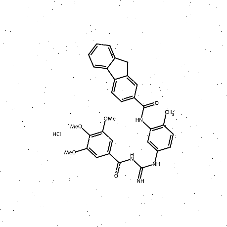 COc1cc(C(=O)NC(=N)Nc2ccc(C)c(NC(=O)c3ccc4c(c3)Cc3ccccc3-4)c2)cc(OC)c1OC.Cl